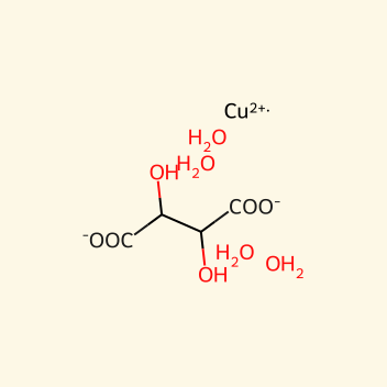 O.O.O.O.O=C([O-])C(O)C(O)C(=O)[O-].[Cu+2]